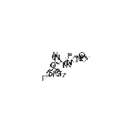 Cc1c(-c2cc(OC(CO[Si](C)(C)C(C)(C)C)c3ccc(F)cn3)c3ccnn3c2)nnn1[C@@H]1CCN(C(=O)OC(C)(C)C)C[C@@H]1F